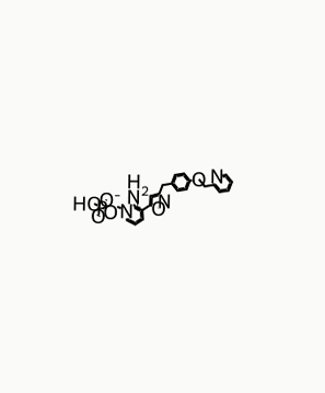 Nc1c(-c2cc(Cc3ccc(OCc4ccccn4)cc3)no2)ccc[n+]1COP(=O)([O-])O